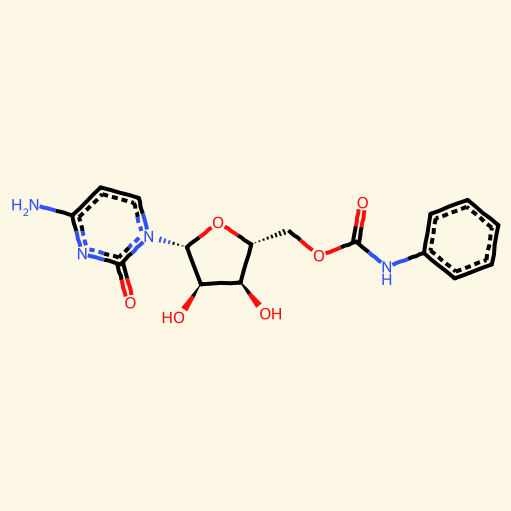 Nc1ccn([C@@H]2O[C@H](COC(=O)Nc3ccccc3)[C@@H](O)[C@H]2O)c(=O)n1